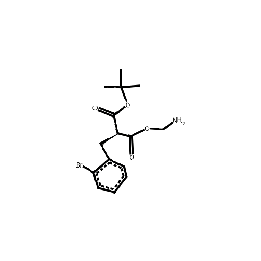 CC(C)(C)OC(=O)[C@H](Cc1ccccc1Br)C(=O)OCN